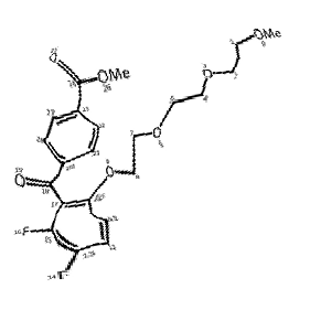 COCCOCCOCCOc1ccc(F)c(F)c1C(=O)c1ccc(C(=O)OC)cc1